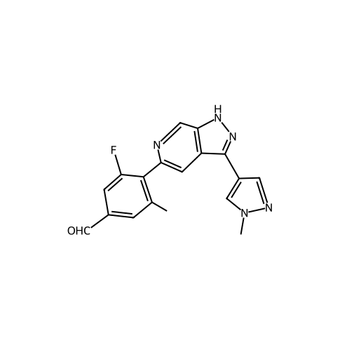 Cc1cc(C=O)cc(F)c1-c1cc2c(-c3cnn(C)c3)n[nH]c2cn1